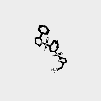 NCc1ccc(S(=O)(=O)c2cccc(S(=O)(=O)N3CCCC3c3ccccc3)c2)s1